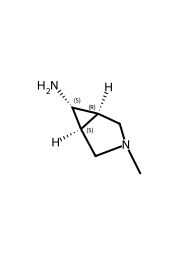 CN1C[C@@H]2[C@@H](N)[C@@H]2C1